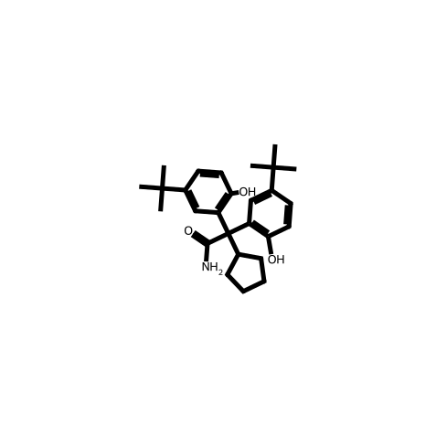 CC(C)(C)c1ccc(O)c(C(C(N)=O)(c2cc(C(C)(C)C)ccc2O)C2CCCC2)c1